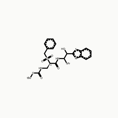 CCCC(NC(=O)[C@@H](CNC(=O)OC(C)(C)C)S(=O)(=O)Cc1ccccc1)C(O)c1nc2ccccc2s1